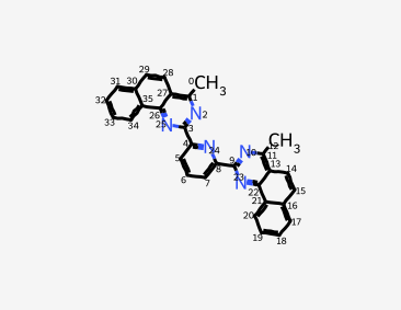 Cc1nc(-c2cccc(-c3nc(C)c4ccc5ccccc5c4n3)n2)nc2c1ccc1ccccc12